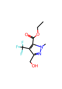 CCOC(=O)c1c(C(F)(F)F)c(CO)nn1C